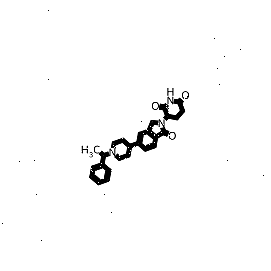 CC(c1ccccc1)N1CCC(c2ccc3c(c2)CN(C2CCC(=O)NC2=O)C3=O)CC1